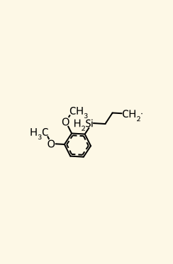 [CH2]CC[SiH2]c1cccc(OC)c1OC